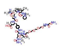 CC[C@H](C)[C@H](NC(=O)[C@H]1CCCCN1C)C(=O)N(C)[C@H](C[C@@H](OC(=O)NC)c1nc(C(=O)N[C@@H](Cc2ccc(NC(=O)[C@H](CCCNC(N)=O)NC(=O)[C@@H](NC(=O)CCOCCOCCOCCOCCNC(=O)CON)C(C)C)cc2)C[C@H](C)C(=O)O)cs1)C(C)C